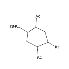 CC(=O)C1CC(C(C)=O)C(C(C)=O)CC1C=O